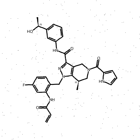 C=CC(=O)Nc1cc(F)ccc1Cn1nc(C(=O)Nc2cccc([C@H](C)O)c2)c2c1[C@H](C)CN(C(=O)c1ccc[nH]1)C2